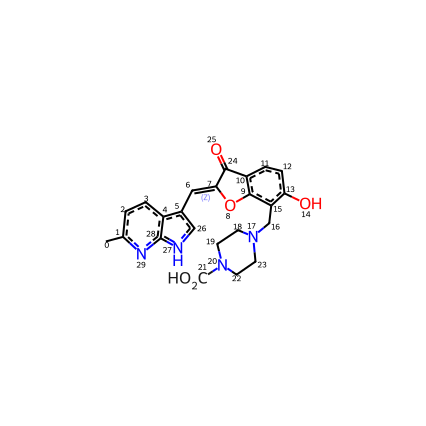 Cc1ccc2c(/C=C3\Oc4c(ccc(O)c4CN4CCN(C(=O)O)CC4)C3=O)c[nH]c2n1